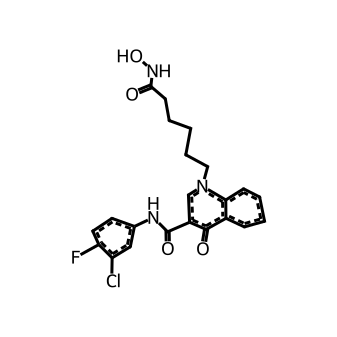 O=C(CCCCCn1cc(C(=O)Nc2ccc(F)c(Cl)c2)c(=O)c2ccccc21)NO